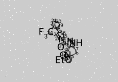 CCS(=O)(=O)N1CCCc2[nH]nc(C(=O)N3CCC(c4ccccc4C(F)(F)F)CC3)c2C1